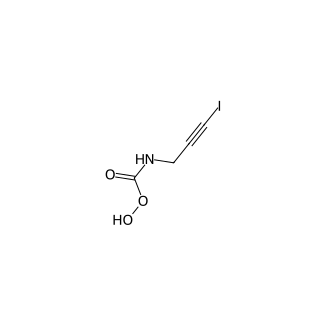 O=C(NCC#CI)OO